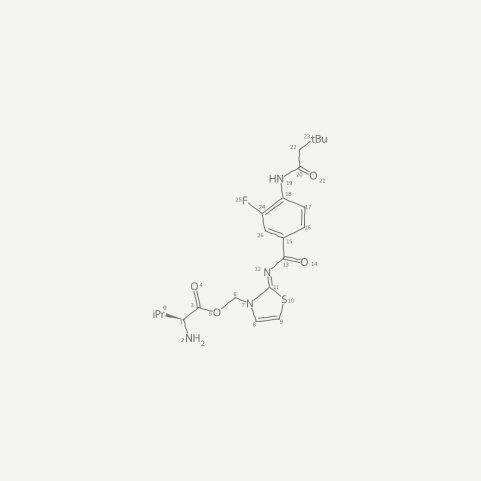 CC(C)[C@H](N)C(=O)OCn1ccsc1=NC(=O)c1ccc(NC(=O)CC(C)(C)C)c(F)c1